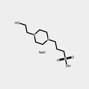 O=S(=O)(O)CCCN1CCN(CCO)CC1.[NaH]